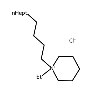 CCCCCCCCCCC[N+]1(CC)CCCCC1.[Cl-]